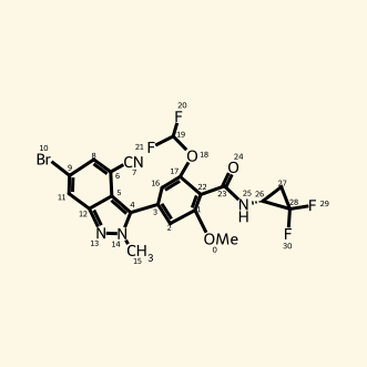 COc1cc(-c2c3c(C#N)cc(Br)cc3nn2C)cc(OC(F)F)c1C(=O)N[C@@H]1CC1(F)F